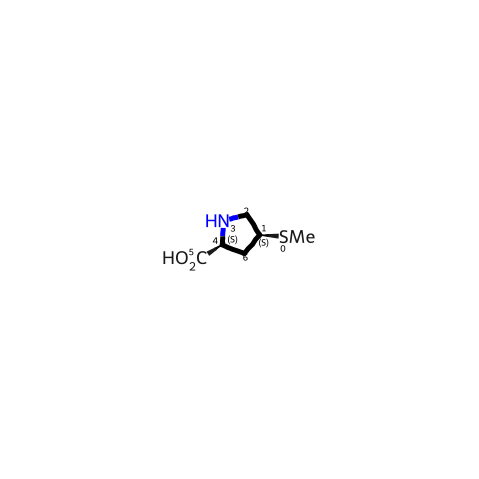 CS[C@@H]1CN[C@H](C(=O)O)C1